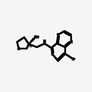 O[C@]1(CNc2ncc(Br)c3nccnc23)CCOC1